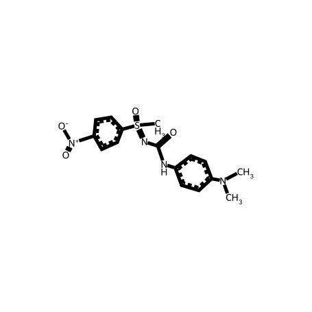 CN(C)c1ccc(NC(=O)N=S(C)(=O)c2ccc([N+](=O)[O-])cc2)cc1